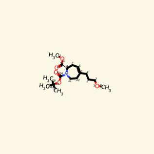 COCCCC1=CC[C@@H](C(=O)OC)N(C(=O)OC(C)(C)C)CC1